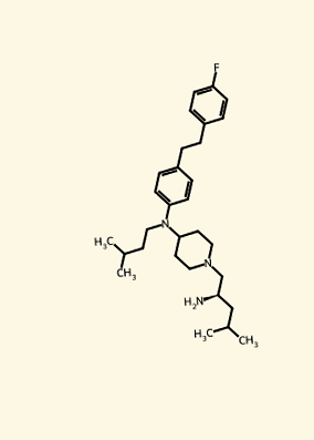 CC(C)CCN(c1ccc(CCc2ccc(F)cc2)cc1)C1CCN(C[C@H](N)CC(C)C)CC1